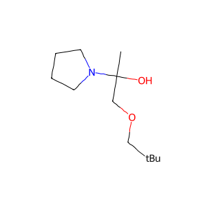 CC(C)(C)COCC(C)(O)N1CCCC1